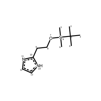 CC(C)(C)[Si](C)(C)OCCc1ncc[nH]1